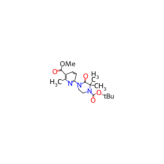 COC(=O)c1ccc(N2CCN(C(=O)OC(C)(C)C)C(C)(C)C2=O)nc1C